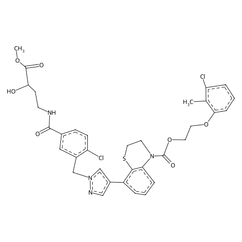 COC(=O)C(O)CCNC(=O)c1ccc(Cl)c(Cn2cc(-c3cccc4c3SCCN4C(=O)OCCOc3cccc(Cl)c3C)cn2)c1